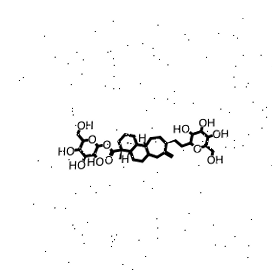 C=C1CC2CC[C@H]3[C@@](C)(CCC[C@@]3(C)C(=O)OC3OC(CO)C(O)C(O)C3O)[C@@H]2CC[C@H]1CCC1OC(CO)C(O)C(O)C1O